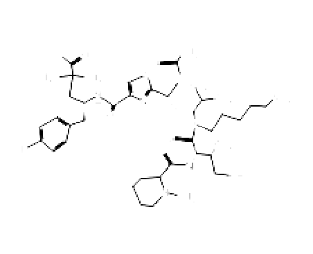 CCCCCCN(C(=O)[C@@H](NC(=O)C1CCCCN1C)[C@@H](C)CC)[C@H](C[C@@H](OC(C)=O)c1nc(C(=O)N[C@@H](Cc2ccc(F)cc2)CC(C)(C)C(=O)O)cs1)C(C)C